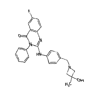 CC1(O)CN(Cc2ccc(Nc3nc4ccc(F)cc4c(=O)n3-c3ccccc3)cc2)C1